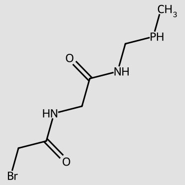 CPCNC(=O)CNC(=O)CBr